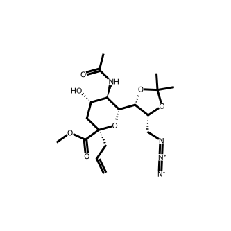 C=CC[C@]1(C(=O)OC)C[C@H](O)[C@@H](NC(C)=O)[C@H]([C@@H]2OC(C)(C)O[C@@H]2CN=[N+]=[N-])O1